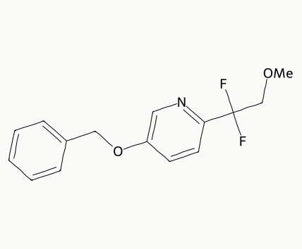 COCC(F)(F)c1ccc(OCc2ccccc2)cn1